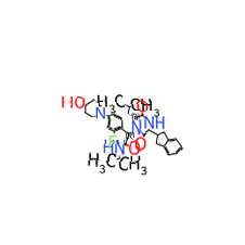 CC(C)C[C@@H]1C(=O)NC(C2Cc3ccccc3C2)C(=O)N1[C@@H](C(=O)NC(C)C)c1ccc(N2CCC(O)CC2)cc1F